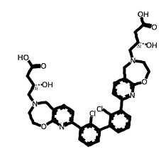 O=C(O)C[C@H](O)CN1CCOc2nc(-c3cccc(-c4cccc(-c5ccc6c(n5)OCCN(C[C@@H](O)CC(=O)O)C6)c4Cl)c3Cl)ccc2C1